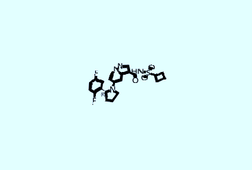 O=C(NS(=O)(=O)C1CCC1)c1cnn2ccc(N3CCC[C@@H]3c3cc(F)ccc3F)cc12